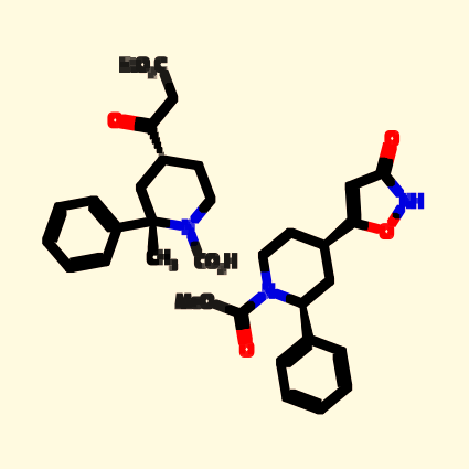 CCOC(=O)CC(=O)[C@@H]1CCN(C(=O)O)[C@](C)(c2ccccc2)C1.COC(=O)N1CC[C@@H](c2cc(=O)[nH]o2)C[C@H]1c1ccccc1